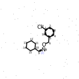 Clc1cccc(CO/N=[C]\C2CCCCC2)c1